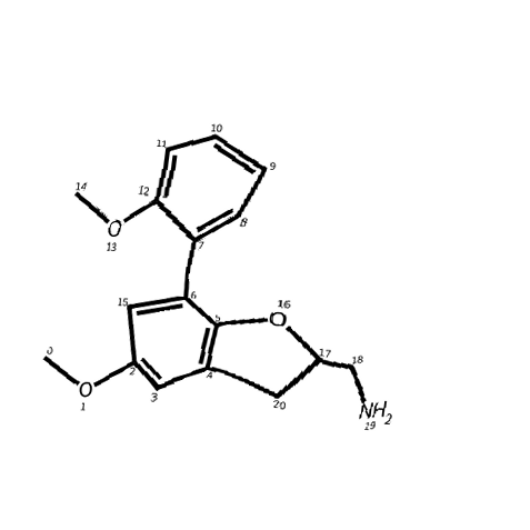 COc1cc2c(c(-c3ccccc3OC)c1)OC(CN)C2